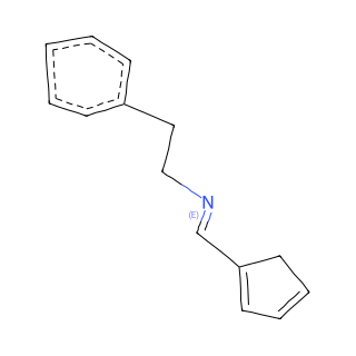 C1=CCC(/C=N/CCc2ccccc2)=C1